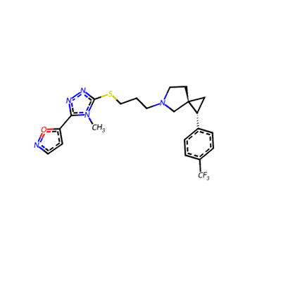 Cn1c(SCCCN2CC[C@]3(C[C@@H]3c3ccc(C(F)(F)F)cc3)C2)nnc1-c1ccno1